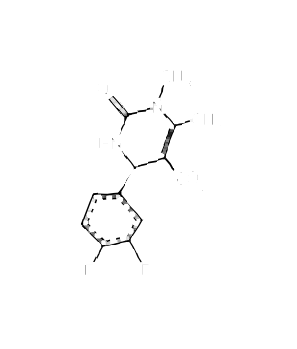 CC1=C(C(=O)O)[C@@H](c2ccc(F)c(F)c2)NC(=O)N1C